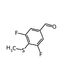 CSc1c(F)cc(C=O)cc1F